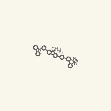 CC1(C)c2cc(-c3ccc(-c4ccc5c(c4)c4ccccc4c4nccnc54)cc3)ccc2-c2ccc(-c3cccc(-n4c5ccccc5c5ccccc54)c3)cc21